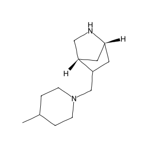 CC1CCN(CC2C[C@@H]3C[C@H]2CN3)CC1